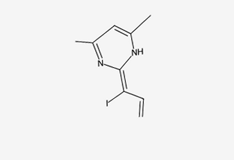 C=C/C(I)=C1/N=C(C)C=C(C)N1